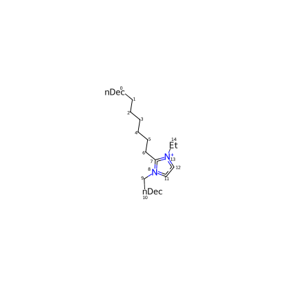 CCCCCCCCCCCCCCCCc1n(CCCCCCCCCCC)cc[n+]1CC